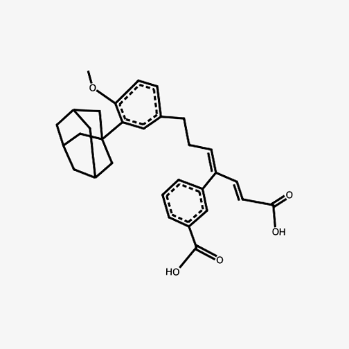 COc1ccc(CCC=C(C=CC(=O)O)c2cccc(C(=O)O)c2)cc1C12CC3CC(CC(C3)C1)C2